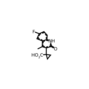 Cc1c(C2(C(=O)O)CC2)c(=O)[nH]c2ccc(F)cc12